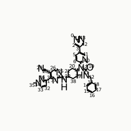 Cn1cc(-c2ccc([N+](C(=O)NCc3ccccc3)=C3CCC(Nc4ncc(C#N)c(-c5ccn(C)n5)n4)CC3)nc2)cn1